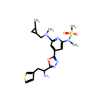 CC1CC1CN(C)c1cc(-c2nnc(C(N)Cc3ccsc3)o2)cc(N(C)S(C)(=O)=O)n1